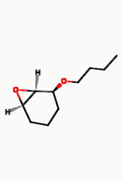 CCCCO[C@H]1CCC[C@H]2O[C@@H]12